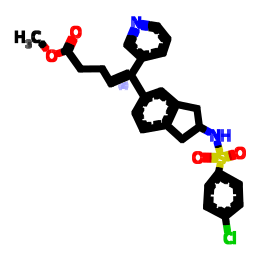 COC(=O)CC/C=C(\c1cccnc1)c1ccc2c(c1)CC(NS(=O)(=O)c1ccc(Cl)cc1)C2